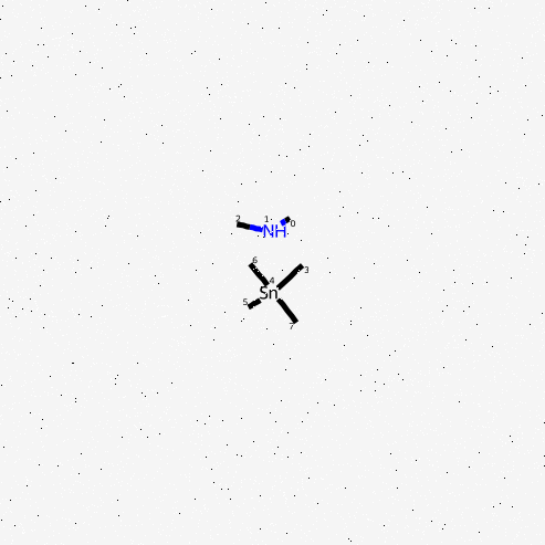 CNC.[CH3][Sn]([CH3])([CH3])[CH3]